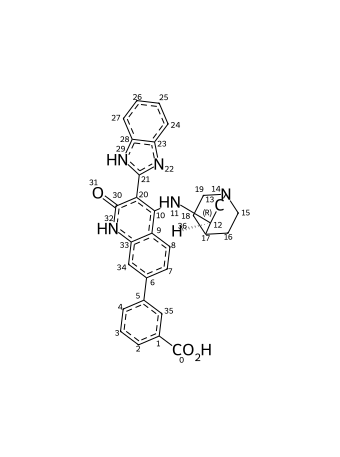 O=C(O)c1cccc(-c2ccc3c(N[C@H]4CN5CCC4CC5)c(-c4nc5ccccc5[nH]4)c(=O)[nH]c3c2)c1